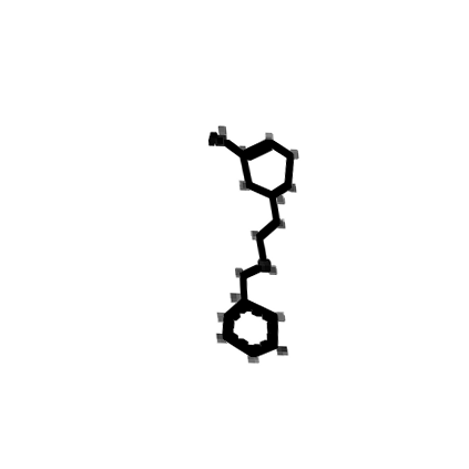 CC(=O)C1=CCCC(CCOCc2ccccc2)C1